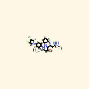 CC(=N)/C=C(\Nc1ccccc1)c1nn(-c2ccc(-n3cc(F)c(F)c3)cc2C)ccc1=O